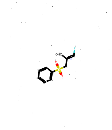 O=C/C(=C\F)CS(=O)(=O)c1ccccc1